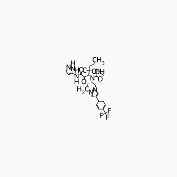 CCCC(C)(C)[C@@H](C(=O)C(=O)Nc1ccn[nH]1)N(C(=O)O)[C@@H](CC)Cn1cc(-c2ccc(C(F)(F)F)cc2)cn1